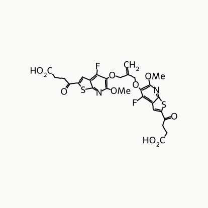 C=C(COc1c(OC)nc2sc(C(=O)CCC(=O)O)cc2c1F)COc1c(OC)nc2sc(C(=O)CCC(=O)O)cc2c1F